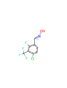 O/N=C/c1ccc(Cl)c(C(F)(F)F)c1F